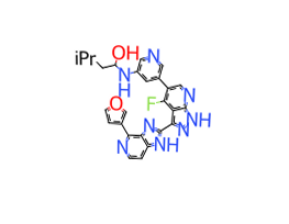 CC(C)CC(O)Nc1cncc(-c2cnc3[nH]nc(-c4nc5c(-c6ccoc6)nccc5[nH]4)c3c2F)c1